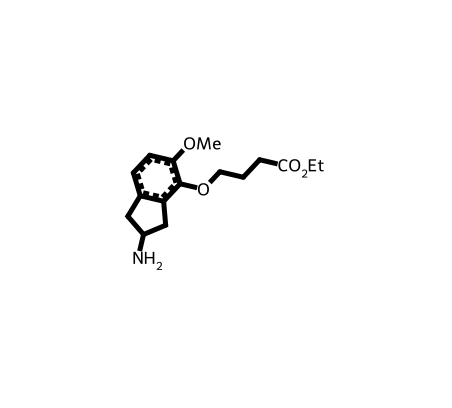 CCOC(=O)CCCOc1c(OC)ccc2c1CC(N)C2